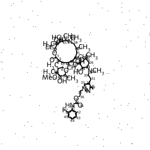 CC[C@H]1OC(=O)[C@H](C)[C@@H](C2C[C@@](C)(OC)[C@@H](O)[C@H](C)O2)[C@H](C)[C@@H](O[C@@H]2O[C@H](C)C[C@H](N(C)CCc3cn(CCOC(=O)Nc4ccccc4F)nn3)[C@H]2O)[C@](C)(O)C[C@@H](C)CN(C)[C@H](C)[C@@H](O)[C@]1(C)O